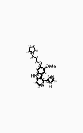 COc1cc2c(cc1OCCCN1CCCC1)[nH]c1ccnc(-c3nnc[nH]3)c12